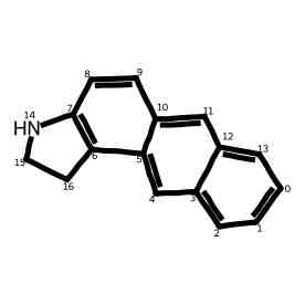 c1ccc2cc3c4c(ccc3cc2c1)NCC4